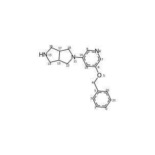 c1ccc(COc2cncc(N3CC4CNCC4C3)c2)cc1